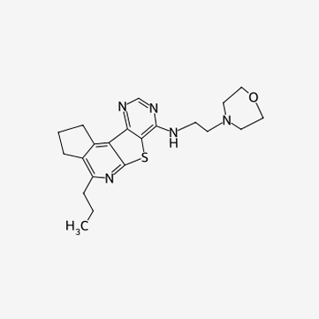 CCCc1nc2sc3c(NCCN4CCOCC4)ncnc3c2c2c1CCC2